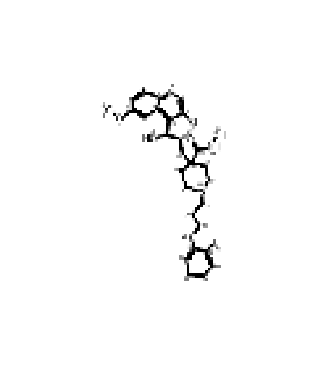 COc1ccc2ncc(Cl)c([C@H](O)CCC3(C(=O)NO)CCN(CCCSc4ccccc4Cl)CC3)c2c1